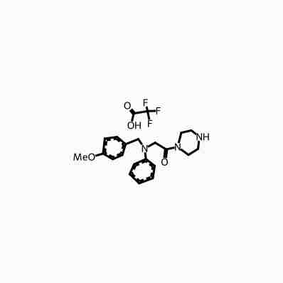 COc1ccc(CN(CC(=O)N2CCNCC2)c2ccccc2)cc1.O=C(O)C(F)(F)F